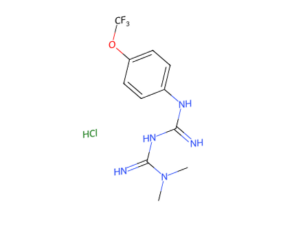 CN(C)C(=N)NC(=N)Nc1ccc(OC(F)(F)F)cc1.Cl